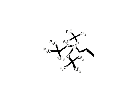 C=C[CH2][Sn]([O]C(C(F)(F)F)(C(F)(F)F)C(F)(F)F)([O]C(C(F)(F)F)(C(F)(F)F)C(F)(F)F)[O]C(C(F)(F)F)(C(F)(F)F)C(F)(F)F